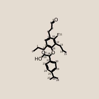 CCCc1cc(CCC=O)c(F)c(CCC)c1OC(C(=O)O)c1ccc(C(C)C)cc1